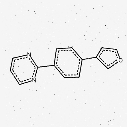 c1cnc(-c2ccc(-c3ccoc3)cc2)nc1